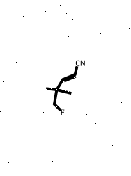 CC(C)(C=CC#N)CF